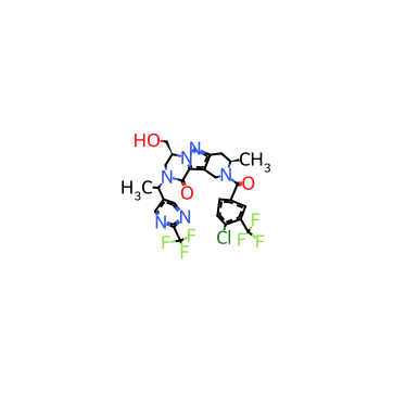 CC(c1cnc(C(F)(F)F)nc1)N1C[C@@H](CO)n2nc3c(c2C1=O)CN(C(=O)c1ccc(Cl)c(C(F)(F)F)c1)[C@H](C)C3